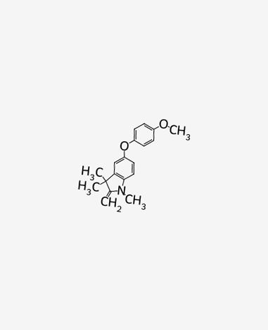 C=C1N(C)c2ccc(Oc3ccc(OC)cc3)cc2C1(C)C